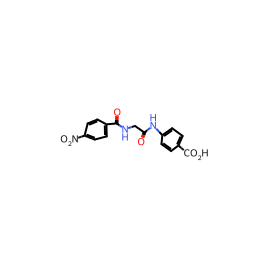 O=C(CNC(=O)c1ccc([N+](=O)[O-])cc1)Nc1ccc(C(=O)O)cc1